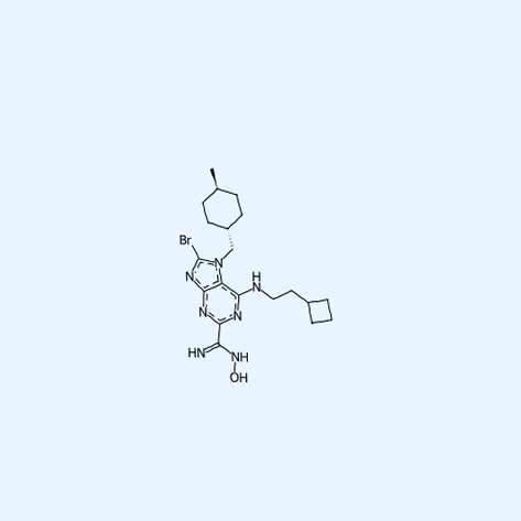 C[C@H]1CC[C@H](Cn2c(Br)nc3nc(C(=N)NO)nc(NCCC4CCC4)c32)CC1